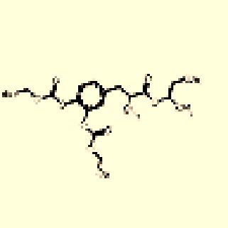 CCC(C)COC(=O)Oc1ccc(C[C@H](N)C(=O)O[C@H](C)COC(C)=O)cc1OC(=O)OCC(C)CC